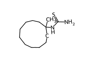 CC1(NC(N)=S)CCCCCCCCCC1